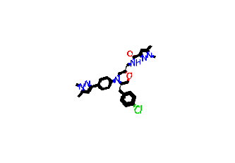 Cc1cc(C(=O)NC[C@H]2CN(C3CCC(c4cc(C)n(C)n4)CC3)[C@@H](Cc3ccc(Cl)cc3)CO2)nn1C